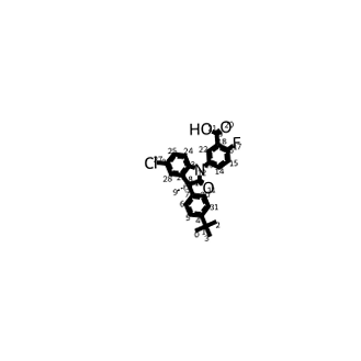 CC(C)(C)c1ccc([C@]2(C)C(=O)N(c3ccc(F)c(C(=O)O)c3)c3ccc(Cl)cc32)cc1